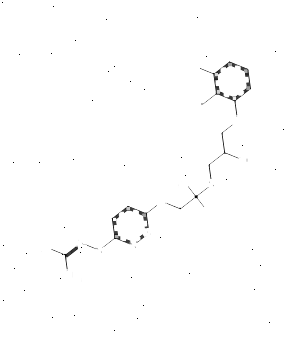 CC(C)=NNc1ccc(OCC(C)(C)NCC(O)COc2cccc(C)c2Cl)nn1